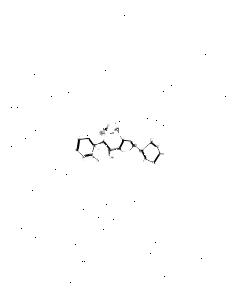 CCN1c2cc(-c3ccccc3)sc2C(O)=C(c2ccccc2C)S1(=O)=O